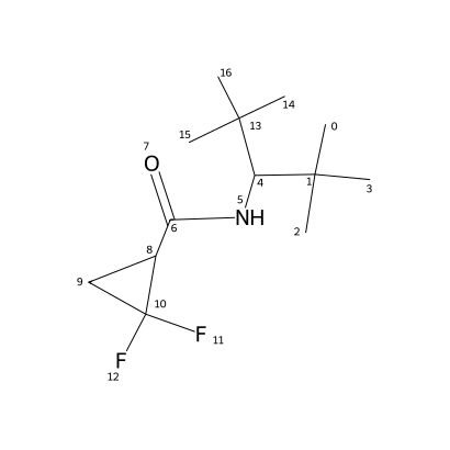 CC(C)(C)C(NC(=O)C1CC1(F)F)C(C)(C)C